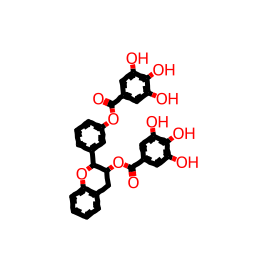 O=C(Oc1cccc(C2Oc3ccccc3CC2OC(=O)c2cc(O)c(O)c(O)c2)c1)c1cc(O)c(O)c(O)c1